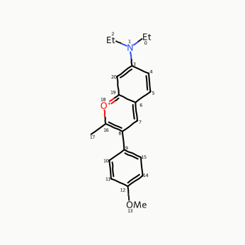 CCN(CC)c1ccc2cc(-c3ccc(OC)cc3)c(C)[o+]c2c1